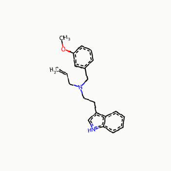 C=CCN(CCc1c[nH]c2ccccc12)Cc1cccc(OC)c1